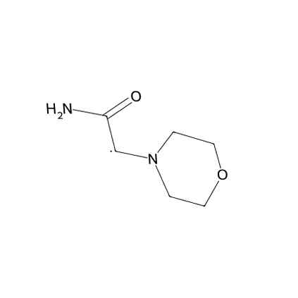 NC(=O)[CH]N1CCOCC1